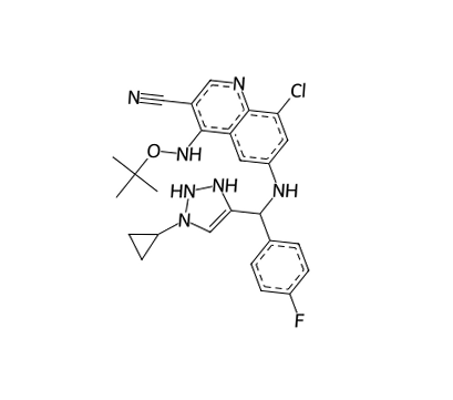 CC(C)(C)ONc1c(C#N)cnc2c(Cl)cc(NC(C3=CN(C4CC4)NN3)c3ccc(F)cc3)cc12